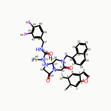 CC1C=c2occc2=CC1C[C@H]1C(=O)N(Cc2cccc3ccccc23)C[C@H]2N1C(=O)CN2N(C(=O)NCc1ccc(I)c(I)c1)C(C)C